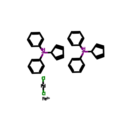 C1#CC([PH](c2ccccc2)c2ccccc2)C#C1.C1#CC([PH](c2ccccc2)c2ccccc2)C#C1.[Cl][Pd][Cl].[Fe+2]